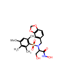 COc1cc(C)c(S(=O)(=O)N(Cc2ccc3c(c2)OCO3)C(CO)C(=O)NO)c(C)c1C